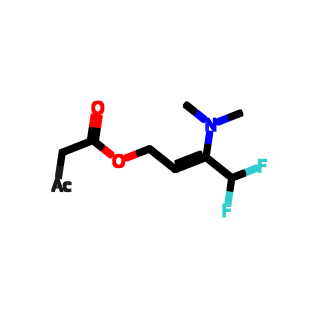 CC(=O)CC(=O)OCC=C(C(F)F)N(C)C